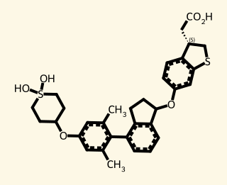 Cc1cc(OC2CCS(O)(O)CC2)cc(C)c1-c1cccc2c1CCC2Oc1ccc2c(c1)SC[C@H]2CC(=O)O